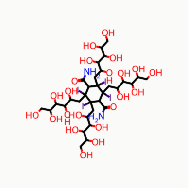 NC(=O)C1C(I)(CC(O)C(O)C(O)C(O)CO)C(I)(CC(O)C(O)C(O)C(O)CO)C(C(N)=O)C(I)(CC(O)C(O)C(O)C(O)CO)C1(I)CC(O)C(O)C(O)C(O)CO